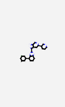 Cc1cc(F)cc(-c2cccc3[nH]c(-c4n[nH]c5cnc(-c6cccnc6)cc45)nc23)c1